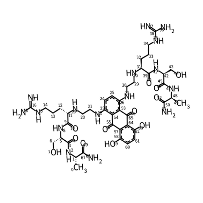 C[C@H](NC(=O)[C@H](CO)NC(=O)[C@H](CCCNC(=N)N)NCCNc1ccc(NCCN[C@@H](CCCNC(=N)N)C(=O)N[C@@H](CO)C(=O)N[C@@H](C)C(N)=O)c2c1C(=O)c1c(O)ccc(O)c1C2=O)C(N)=O